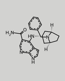 NC(=O)c1cnc2[nH]ccc2c1N[C@@H]1C[C@H]2CC[C@@H](C1)N2Cc1ccccc1